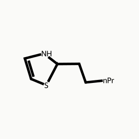 CCCCC[C]1NC=CS1